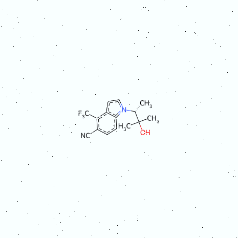 C[C@@H](n1ccc2c(C(F)(F)F)c(C#N)ccc21)C(C)(C)O